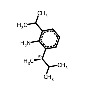 CC(C)c1cccc([C@H](C)C(C)C)c1N